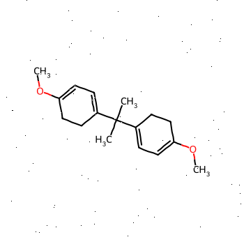 COC1=CC=C(C(C)(C)C2=CC=C(OC)CC2)CC1